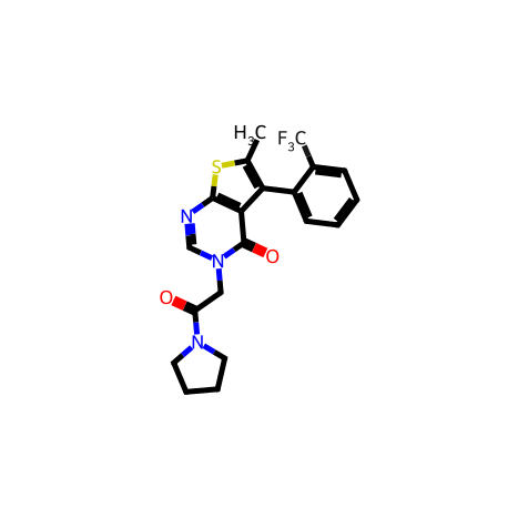 Cc1sc2ncn(CC(=O)N3CCCC3)c(=O)c2c1-c1ccccc1C(F)(F)F